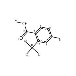 COC(=O)c1ccc(C)cc1C(C)(C)C